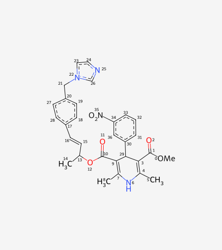 COC(=O)C1=C(C)NC(C)=C(C(=O)OC(C)C=Cc2ccc(Cn3ccnc3)cc2)C1c1cccc([N+](=O)[O-])c1